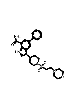 NC(=O)c1cc(-c2ccccc2)cc2c(C3CCN(S(=O)(=O)CCN4CCOCC4)CC3)c[nH]c12